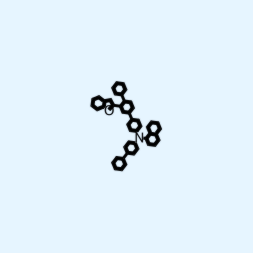 c1ccc(-c2ccc(N(c3ccc(-c4ccc(-c5ccccc5)c(-c5cc6ccccc6o5)c4)cc3)c3cccc4ccccc34)cc2)cc1